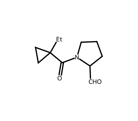 CCC1(C(=O)N2CCCC2C=O)CC1